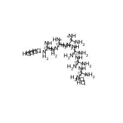 Cl.Cl.Cl.Cl.Cl.Cl.N=C(N)N.N=C(N)N.N=C(N)N.N=C(N)N.N=C(N)N.N=C(N)N